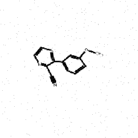 COc1cccc(-c2nccnc2C#N)c1